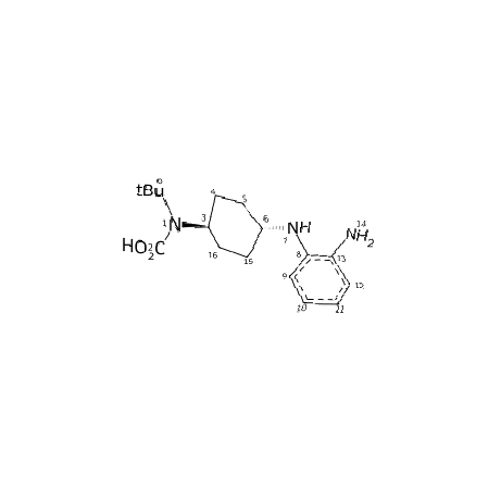 CC(C)(C)N(C(=O)O)[C@H]1CC[C@H](Nc2ccccc2N)CC1